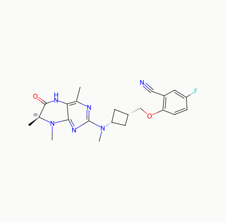 Cc1nc(N(C)[C@H]2C[C@@H](COc3ccc(F)cc3C#N)C2)nc2c1NC(=O)[C@H](C)N2C